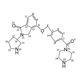 O=C(c1ccc(COc2cccc3c2CN(C2CCCNC2)C3=O)cc1)N1CCNCC1